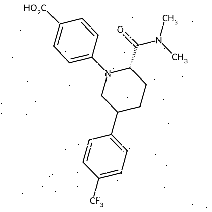 CN(C)C(=O)[C@@H]1CCC(c2ccc(C(F)(F)F)cc2)CN1c1ccc(C(=O)O)cc1